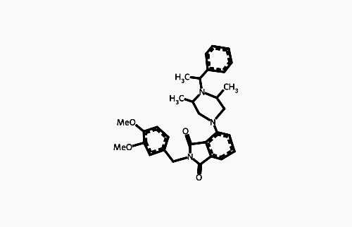 COc1ccc(CN2C(=O)c3cccc(N4CC(C)N(C(C)c5ccccc5)C(C)C4)c3C2=O)cc1OC